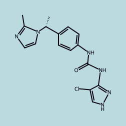 Cc1nccn1[C@H](C)c1ccc(NC(=O)Nc2n[nH]cc2Cl)cc1